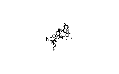 CC1=CCC2N=C(C(F)(F)F)C=C(N[C@H]3CCCC(N)(NC(=O)c4cn(CCF)nc4C#N)C3)C2=C1